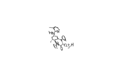 CCN1C(=O)C(C(=O)O)C(=O)c2cc(Nc3ncccc3C)cc(C)c21